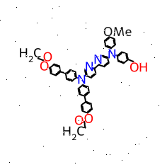 C=CC(=O)Oc1ccc(-c2ccc(N(c3ccc(-c4ccc(OC(=O)C=C)cc4)cc3)c3ccc(-c4ccc(N(c5ccc(CO)cc5)c5ccc(OC)cc5)cn4)nc3)cc2)cc1